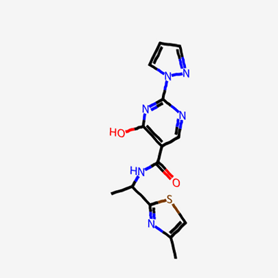 Cc1csc(C(C)NC(=O)c2cnc(-n3cccn3)nc2O)n1